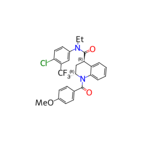 CCN(C(=O)[C@@H]1C[C@@H](C)N(C(=O)c2ccc(OC)cc2)c2ccccc21)c1ccc(Cl)c(C(F)(F)F)c1